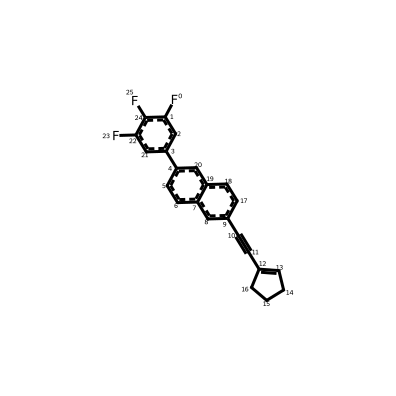 Fc1cc(-c2ccc3cc(C#CC4=CCCC4)ccc3c2)cc(F)c1F